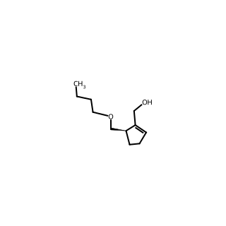 CCCCOC[C@@H]1CCC=C1CO